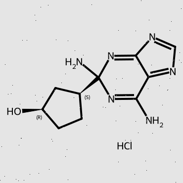 Cl.NC1=NC(N)([C@H]2CC[C@@H](O)C2)N=C2N=CN=C12